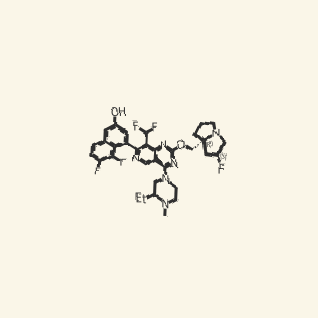 CCC1CN(c2nc(OC[C@]34CCCN3C[C@@H](F)C4)nc3c(C(F)F)c(-c4cc(O)cc5ccc(F)c(F)c45)ncc23)CCN1C